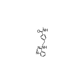 CNC(=O)c1ccc(CCNc2ncnc3ccccc23)cc1